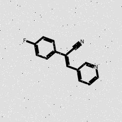 N#CC(=Cc1cccnc1)c1ccc(F)cc1